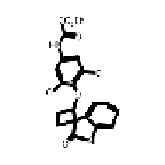 CCOC(=O)C(=O)Nc1cc(Cl)c(OC2CCC23C(=O)Nc2ccccc23)c(Cl)c1